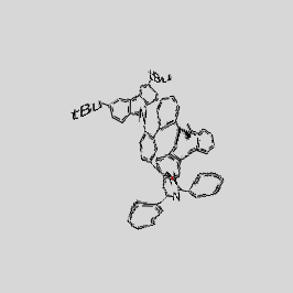 CC(C)(C)c1ccc2c(c1)c1cc(C(C)(C)C)ccc1n2-c1ccc(-c2cc(-c3ccccc3)nc(-c3ccccc3)n2)cc1-c1ccccc1-n1c2ccccc2c2ccccc21